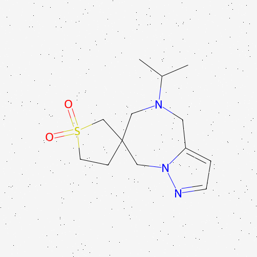 CC(C)N1Cc2ccnn2CC2(CCS(=O)(=O)C2)C1